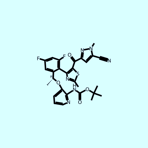 Cc1nc(-c2c(F)cc(F)cc2[C@@H](C)Oc2cccnc2NC(=O)OC(C)(C)C)c(C(=O)c2cc(C#N)n(C)n2)s1